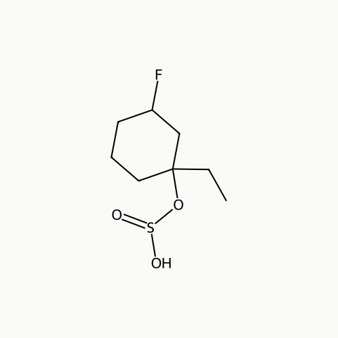 CCC1(OS(=O)O)CCCC(F)C1